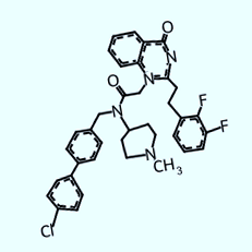 CN1CCC(N(Cc2ccc(-c3ccc(Cl)cc3)cc2)C(=O)Cn2c(CCc3cccc(F)c3F)nc(=O)c3ccccc32)CC1